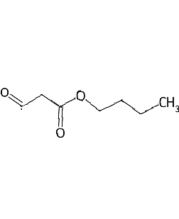 CCCCOC(=O)C[C]=O